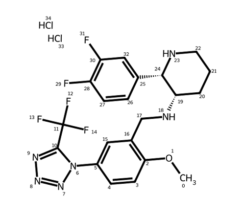 COc1ccc(-n2nnnc2C(F)(F)F)cc1CN[C@H]1CCCN[C@H]1c1ccc(F)c(F)c1.Cl.Cl